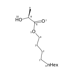 CCCCCCCCCCOC(=O)[C@H](C)O